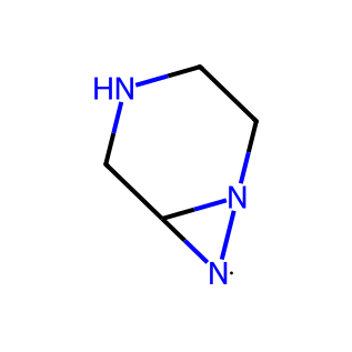 C1CN2[N]C2CN1